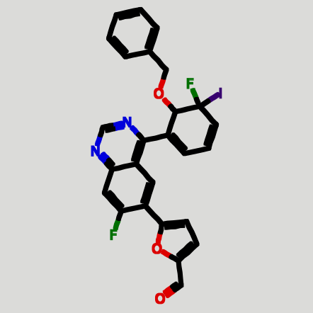 O=Cc1ccc(-c2cc3c(C4=CC=CC(F)(I)C4OCc4ccccc4)ncnc3cc2F)o1